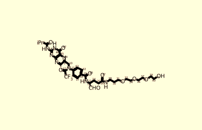 CC(C)C(=O)Nc1nc2ncc(CN(C(=O)C(F)(F)F)c3ccc(C(=O)N[C@H](C=O)CCC(=O)NCCCOCCOCCOCCO)cc3)nc2c(=O)[nH]1